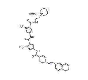 CCCCCCC[N+]1(CCNC(=O)c2cc(NC(=O)c3cc(NC(=O)c4ccc(/C=C/c5cnc6ccccc6c5)cc4)cn3C)cn2C)CCOCC1